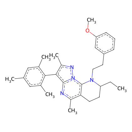 CCC1CCc2c(C)nc3c(-c4c(C)cc(C)cc4C)c(C)nn3c2N1CCc1cccc(OC)c1